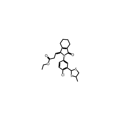 CCOC(=O)CC=C1C2=C(CCCC2)C(=O)N1c1ccc(Cl)c(C2SCC(C)S2)c1